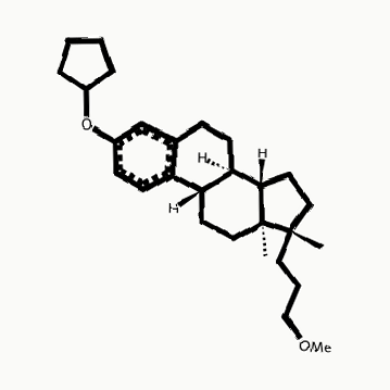 COCCC[C@@]1(C)CC[C@H]2[C@@H]3CCc4cc(OC5CCCC5)ccc4[C@H]3CC[C@@]21C